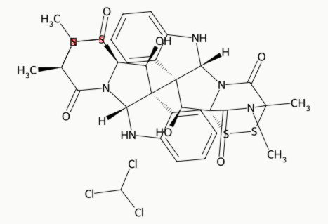 CN1C(=O)[C@]23SSC1(C)C(=O)N2[C@H]1Nc2ccccc2[C@@]1([C@@]12c4ccccc4N[C@@H]1N1C(=O)[C@]4(C)SS[C@]1(C(=O)N4C)[C@H]2O)[C@@H]3O.ClC(Cl)Cl